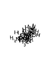 CNC1C(O[C@H]2OC(CO)[C@@H](NC(CN)CN)C(O)C2O)O[C@H]2CC(N)[C@@H](O[C@H]3CCC(N)CC3N)OC2C1O